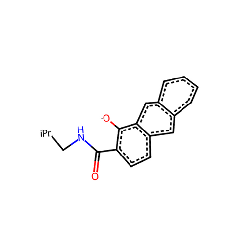 CC(C)CNC(=O)c1ccc2cc3ccccc3cc2c1[O]